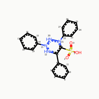 O=S(=O)(O)c1c(-c2ccccc2)[nH]n(-c2ccccc2)[nH]n1-c1ccccc1